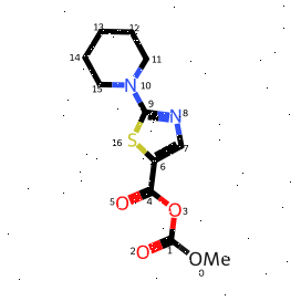 COC(=O)OC(=O)c1cnc(N2CCCCC2)s1